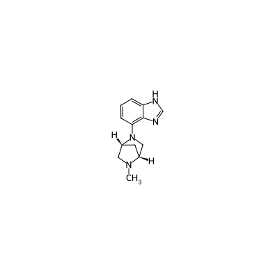 CN1C[C@H]2C[C@@H]1CN2c1cccc2[nH]cnc12